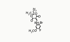 COc1cc(NC=C2C(=O)OC(C)(C)OC2=O)c(Br)cc1F